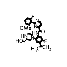 C=C(C)c1cc(N2CCN[C@H](CO)C2)c(NC(=O)c2ccnc(-c3c(F)cccc3OC)n2)cc1F